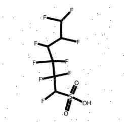 O=S(=O)(O)C(F)C(F)(F)C(F)(F)C(F)C(F)C(F)F